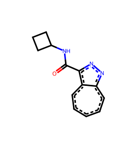 O=C(NC1CCC1)c1nnc2cccccc1-2